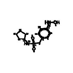 O=S(=O)(Cc1ccc(NO)cc1)NC1CCCC1